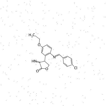 CCOc1ccc(/N=C/c2ccc(Cl)cc2)c(C2COC(=O)C2=N)c1